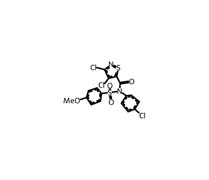 COc1ccc(S(=O)(=O)N(C(=O)c2snc(Cl)c2Cl)c2ccc(Cl)cc2)cc1